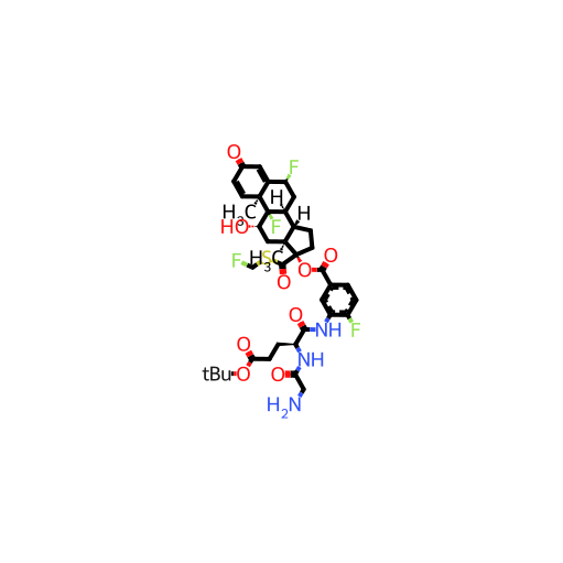 CC(C)(C)OC(=O)CC[C@H](NC(=O)CN)C(=O)Nc1cc(C(=O)O[C@]2(C(=O)SCF)CC[C@H]3[C@@H]4C[C@H](F)C5=CC(=O)C=C[C@]5(C)[C@@]4(F)[C@@H](O)C[C@@]32C)ccc1F